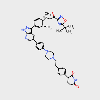 Cc1cc(-c2n[nH]c3ncc(-c4ccc(N5CCN(CCc6ccc(C7CCC(=O)NC7=O)cc6)CC5)cc4)cc23)ccc1[C@@H](C)CC(=O)c1noc(C(C)(C)C)n1